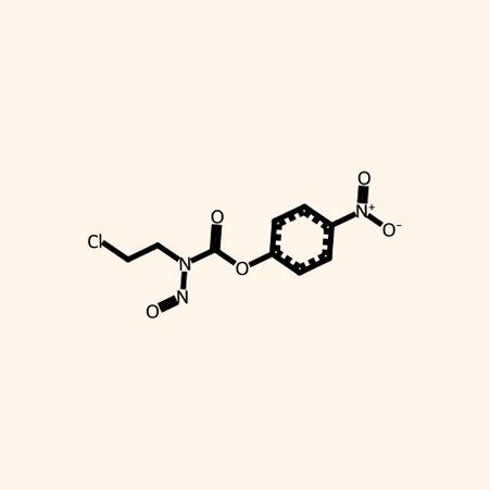 O=NN(CCCl)C(=O)Oc1ccc([N+](=O)[O-])cc1